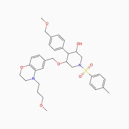 COCCCN1CCOc2ccc(COC3CN(S(=O)(=O)c4ccc(C)cc4)CC(O)C3c3ccc(COC)cc3)cc21